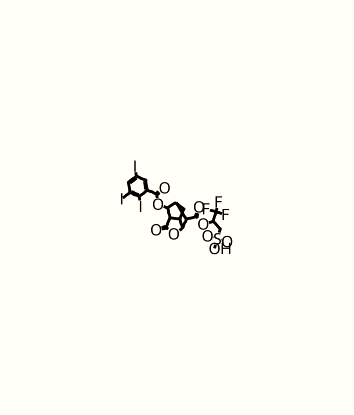 O=C(OC1C2CC3C(OC(=O)C31)C2C(=O)OC(CS(=O)(=O)O)C(F)(F)F)c1cc(I)cc(I)c1I